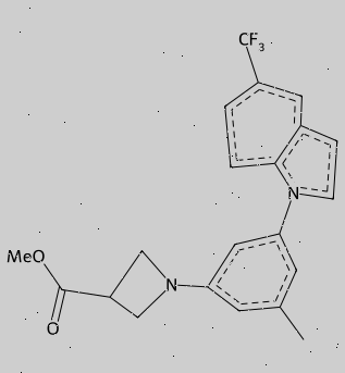 COC(=O)C1CN(c2cc(C)cc(-n3ccc4cc(C(F)(F)F)ccc43)c2)C1